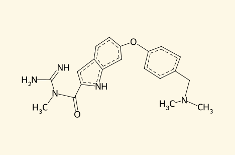 CN(C)Cc1ccc(Oc2ccc3cc(C(=O)N(C)C(=N)N)[nH]c3c2)cc1